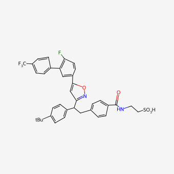 CC(C)(C)c1ccc(C(Cc2ccc(C(=O)NCCS(=O)(=O)O)cc2)c2cc(-c3ccc(F)c(-c4ccc(C(F)(F)F)cc4)c3)on2)cc1